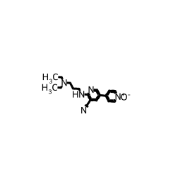 CCN(CC)CCCNc1ncc(-c2cc[n+]([O-])cc2)cc1C#N